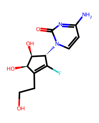 Nc1ccn([C@@H]2C(F)=C(CCO)[C@@H](O)[C@H]2O)c(=O)n1